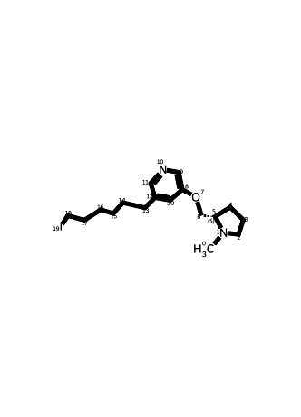 CN1CCC[C@H]1COc1cncc(CCCCCCI)c1